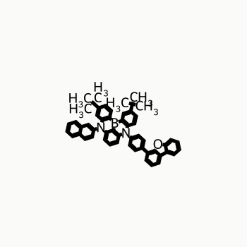 CC(C)(C)c1ccc2c(c1)B1c3ccc(C(C)(C)C)cc3N(c3ccc4ccccc4c3)c3cccc(c31)N2c1ccc(-c2cccc3c2oc2ccccc23)cc1